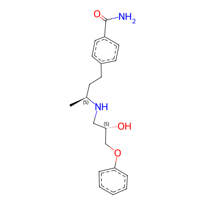 C[C@@H](CCc1ccc(C(N)=O)cc1)NC[C@H](O)COc1ccccc1